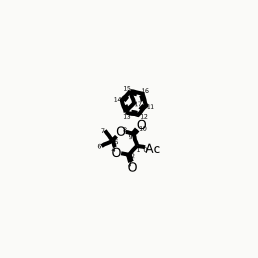 CC(=O)C1C(=O)OC(C)(C)OC1=O.c1cc2cc(c1)C2